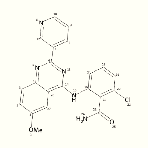 COc1ccc2nc(-c3cccnc3)nc(Nc3cccc(Cl)c3C(N)=O)c2c1